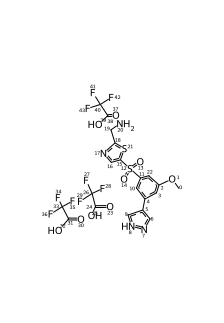 COc1cc(-c2cn[nH]c2)cc(S(=O)(=O)c2cnc(CN)s2)c1.O=C(O)C(F)(F)F.O=C(O)C(F)(F)F.O=C(O)C(F)(F)F